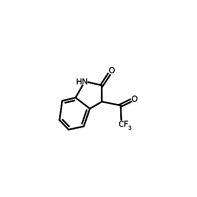 O=C1Nc2ccccc2C1C(=O)C(F)(F)F